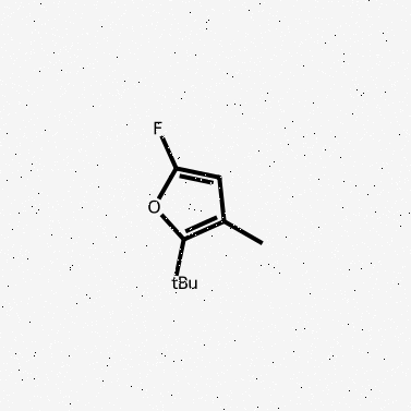 Cc1cc(F)oc1C(C)(C)C